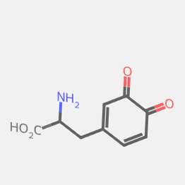 NC(CC1=CC(=O)C(=O)C=C1)C(=O)O